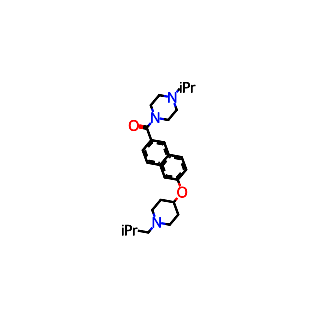 CC(C)CN1CCC(Oc2ccc3cc(C(=O)N4CCN(C(C)C)CC4)ccc3c2)CC1